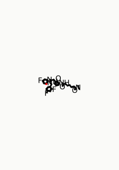 CN(C)C(=O)/C=C/CCCC(=O)Nc1cccn(Cc2nc3cc(F)ccc3n2Cc2ccc(F)cc2F)c1=O